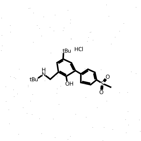 CC(C)(C)NCc1cc(C(C)(C)C)cc(-c2ccc(S(C)(=O)=O)cc2)c1O.Cl